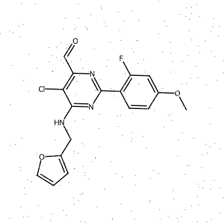 COc1ccc(-c2nc(C=O)c(Cl)c(NCc3ccco3)n2)c(F)c1